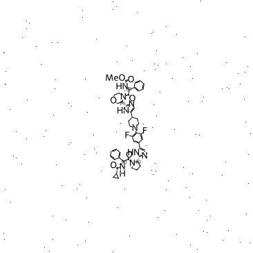 COC(=O)N[C@@H](C(=O)N1CCOC[C@H]1c1ncc(C2CCN(c3c(F)cc(-c4cnc([C@@H]5CCCN5C(=O)[C@H](NC(=O)C5CC5)c5ccccc5)[nH]4)cc3F)CC2)[nH]1)c1ccccc1